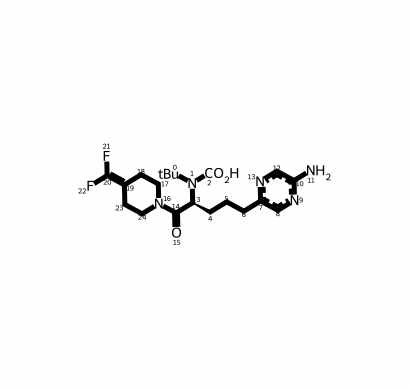 CC(C)(C)N(C(=O)O)[C@@H](CCCc1cnc(N)cn1)C(=O)N1CCC(=C(F)F)CC1